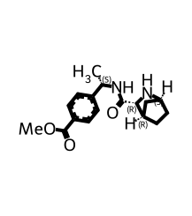 COC(=O)c1ccc([C@H](C)NC(=O)[C@@H]2N[C@H]3CC[C@@H]2C3)cc1